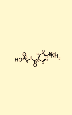 NNc1ccc(C(=O)CCC(=O)O)cc1